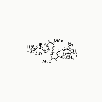 COc1cc(-c2cc(OC)cc(C(C)(C)C)c2OP2OC(C)(C)C(C)(C)O2)c(OP2OCC(C)(C)CO2)c(C(C)(C)C)c1